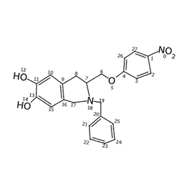 O=[N+]([O-])c1ccc(OCC2Cc3cc(O)c(O)cc3CN2Cc2ccccc2)cc1